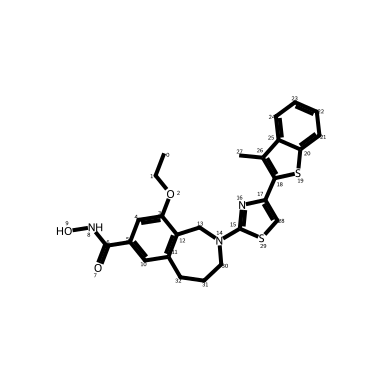 CCOc1cc(C(=O)NO)cc2c1CN(c1nc(-c3sc4ccccc4c3C)cs1)CCC2